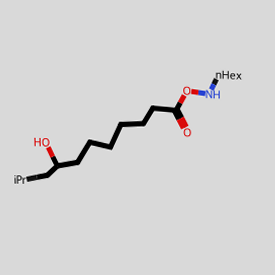 CCCCCCNOC(=O)CCCCCCC(O)CC(C)C